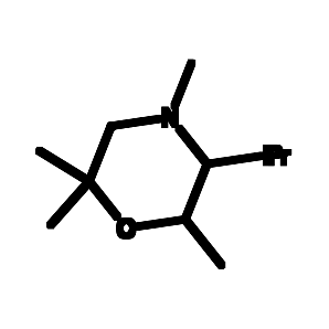 CC(C)C1C(C)OC(C)(C)CN1C